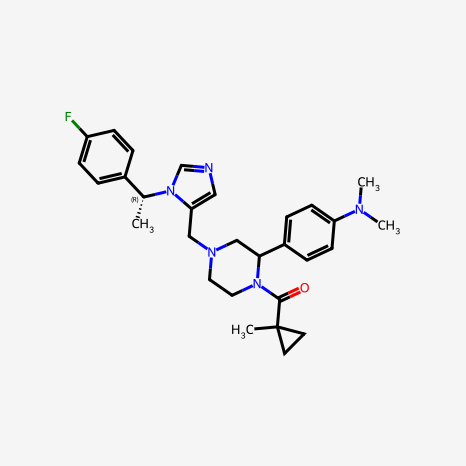 C[C@H](c1ccc(F)cc1)n1cncc1CN1CCN(C(=O)C2(C)CC2)C(c2ccc(N(C)C)cc2)C1